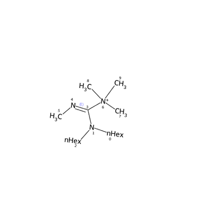 CCCCCCN(CCCCCC)/C(=N\C)[N+](C)(C)C